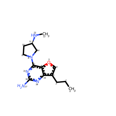 CCCc1coc2c(N3CC[C@@H](NC)C3)nc(N)nc12